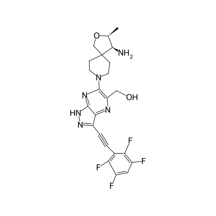 C[C@@H]1OCC2(CCN(c3nc4[nH]nc(C#Cc5c(F)c(F)cc(F)c5F)c4nc3CO)CC2)[C@@H]1N